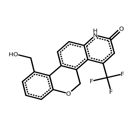 O=c1cc(C(F)(F)F)c2c3c(ccc2[nH]1)-c1c(CO)cccc1OC3